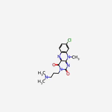 CN(C)CCCn1c(=O)nc2n(C)c3cc(Cl)ccc3nc-2c1=O